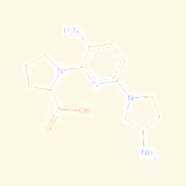 Nc1ccc(N2CCC(N)C2)nc1N1CCCC1C(=O)O